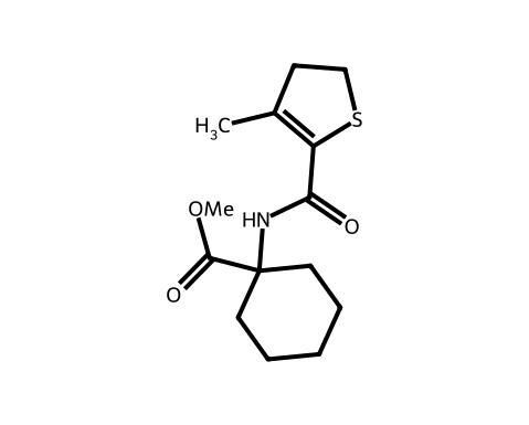 COC(=O)C1(NC(=O)C2=C(C)CCS2)CCCCC1